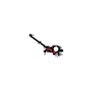 CCCC[C@H](NC(=O)[C@@H](N)CNC(=O)[C@H](Cc1c[nH]cn1)NC(=O)[C@H](CCC(N)=O)NC(=O)[C@H](CO)NC(=O)CNC(=O)COCCOCCNC(=O)CCCCCCCCCCCCCCCc1nnn[nH]1)C(=O)N[C@H]1CCC(=O)NCCCC[C@@H](C(C)=O)NC(=O)[C@H](Cc2c[nH]c3ccccc23)NC(=O)[C@H](CCCNC(=N)N)NC(=O)[C@@H](Cc2ccccc2)NC(=O)[C@@H]2C[C@@H](O)CN2C1=O